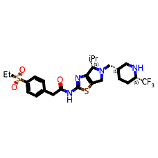 CCS(=O)(=O)c1ccc(CC(=O)Nc2nc3c(s2)CN(C[C@H]2CC[C@@H](C(F)(F)F)NC2)[C@H]3C(C)C)cc1